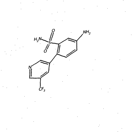 Nc1ccc(-c2cncc(C(F)(F)F)c2)c(S(N)(=O)=O)c1